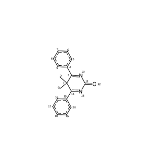 CC1(C)C(c2ccccc2)=NC(=O)N=C1c1ccccc1